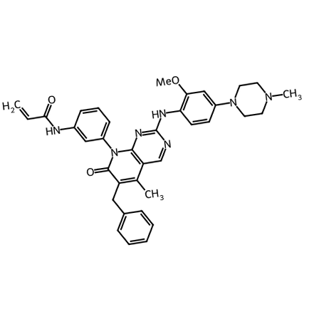 C=CC(=O)Nc1cccc(-n2c(=O)c(Cc3ccccc3)c(C)c3cnc(Nc4ccc(N5CCN(C)CC5)cc4OC)nc32)c1